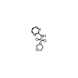 O=S(=O)(Nc1ncccn1)N1CCOC1